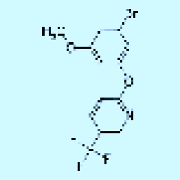 COc1cc(Br)cc(Oc2ccc(C(F)(F)F)cn2)c1